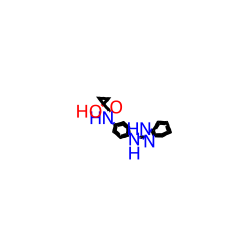 O=C(Nc1ccc(Nc2nc3ccccc3[nH]2)cc1)C1(O)CC1